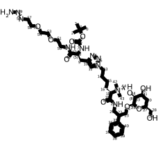 CC(C)(C)OC(=O)N[C@@H](Cc1cn(CCCC[C@@H](C(=O)NCC(CO[C@@H]2O[C@H](CO)C[C@H](O)[C@H]2O)c2ccccc2)[N+](C)(C)C)nn1)C(=O)NCCOCCOCCN=NN